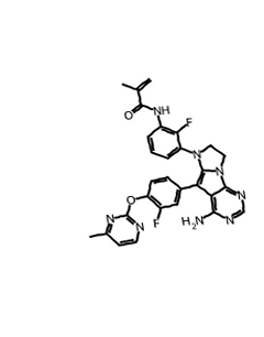 C=C(C)C(=O)Nc1cccc(N2CCn3c2c(-c2ccc(Oc4nccc(C)n4)c(F)c2)c2c(N)ncnc23)c1F